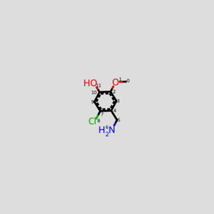 COc1cc(CN)c(Cl)cc1O